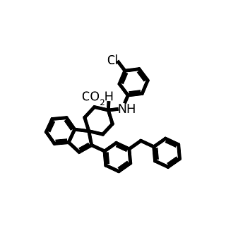 O=C(O)C1(Nc2cccc(Cl)c2)CCC2(CC1)C(c1cccc(Cc3ccccc3)c1)=Cc1ccccc12